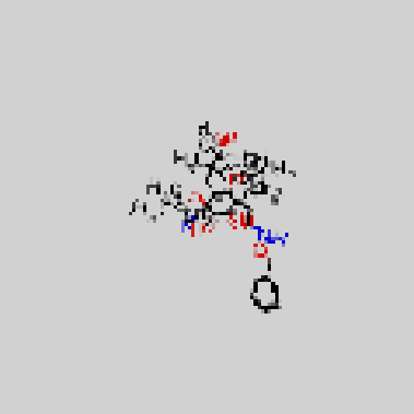 CC(C)(C[C@H]1[C@@H](O[Si](C)(C)C)[C@@](C)(CC(=O)NOCc2ccccc2)[C@H](O)[C@H](O)[C@]1(C#N)O[Si](C)(C)C)[Si](C)(C)O